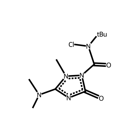 CN(C)c1nc(=O)n(C(=O)N(Cl)C(C)(C)C)n1C